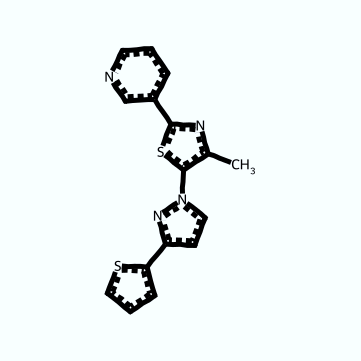 Cc1nc(-c2cccnc2)sc1-n1ccc(-c2cccs2)n1